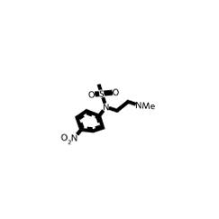 CNCCN(c1ccc([N+](=O)[O-])cc1)S(C)(=O)=O